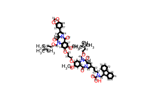 COc1cc2c(cc1OCCCOc1cc3c(cc1OC)C(=O)N1C=C(c4ccc5c(c4)OCO5)C[C@H]1C(=O)N3COCC[Si](C)(C)C)N(COCC[Si](C)(C)C)C(=O)[C@@H]1CC(C=CCN(CC3c4ccccc4-c4ccccc43)C(=O)O)=CN1C2=O